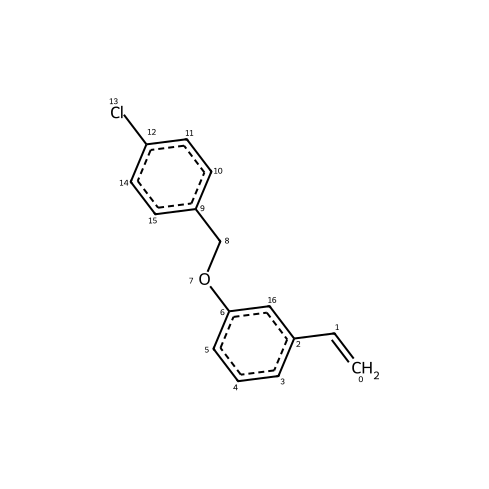 C=Cc1cccc(OCc2ccc(Cl)cc2)c1